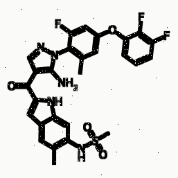 Cc1cc2cc(C(=O)c3cnn(-c4c(C)cc(Oc5cccc(F)c5F)cc4F)c3N)[nH]c2cc1NS(C)(=O)=O